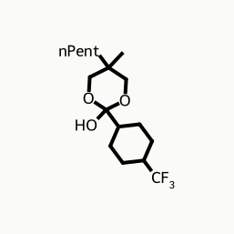 CCCCCC1(C)COC(O)(C2CCC(C(F)(F)F)CC2)OC1